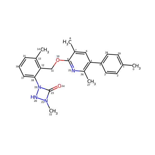 Cc1ccc(-c2cc(C)c(OCc3c(C)cccc3-n3[nH]n(C)c3=O)nc2C)cc1